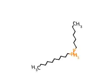 CCCCCCCCCCP[PH3]CCCCCCC